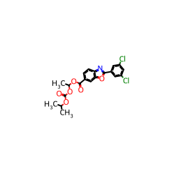 CC(C)OC(=O)OC(C)OC(=O)c1ccc2nc(-c3cc(Cl)cc(Cl)c3)oc2c1